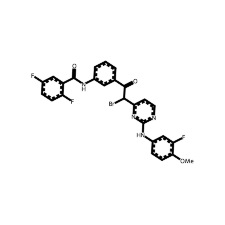 COc1ccc(Nc2nccc(C(Br)C(=O)c3cccc(NC(=O)c4cc(F)ccc4F)c3)n2)cc1F